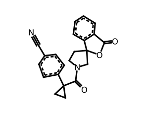 N#Cc1ccc(C2(C(=O)N3CCC4(C3)OC(=O)c3ccccc34)CC2)cc1